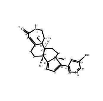 C[C@]12CC[C@H]3[C@@H](CCC4=CC(=O)NCC[C@@]43C)C1=CC=C2c1cncc(F)c1